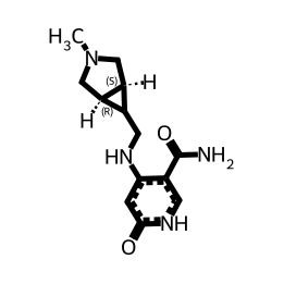 CN1C[C@@H]2C(CNc3cc(=O)[nH]cc3C(N)=O)[C@@H]2C1